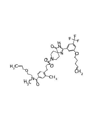 C=CCCCOc1cc(C2=NC3(CCN(S(=O)(=O)CCc4ccc(C(=O)N(C)CCOCC=C)cc4C)CC3)C(=O)N2)cc(C(F)(F)F)c1